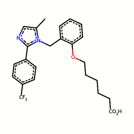 Cc1cnc(-c2ccc(C(F)(F)F)cc2)n1Cc1ccccc1OCCCCCC(=O)O